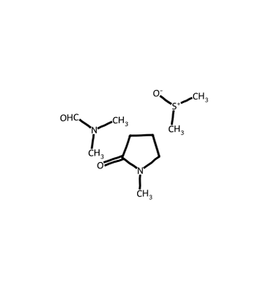 CN(C)C=O.CN1CCCC1=O.C[S+](C)[O-]